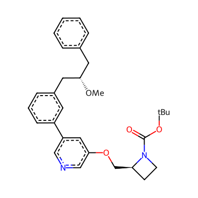 CO[C@@H](Cc1ccccc1)Cc1cccc(-c2cncc(OC[C@@H]3CCN3C(=O)OC(C)(C)C)c2)c1